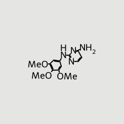 COc1cc(Nc2nccc(N)n2)cc(OC)c1OC